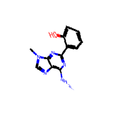 Cn1cnc2c(N)nc(-c3ccccc3O)nc21